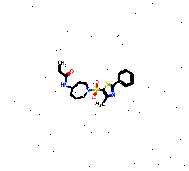 C=CC(=O)NC1CCCN(S(=O)(=O)c2sc(-c3ccccc3)nc2C)CC1